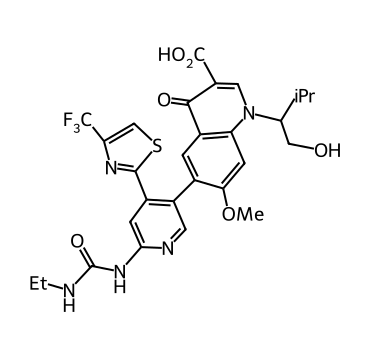 CCNC(=O)Nc1cc(-c2nc(C(F)(F)F)cs2)c(-c2cc3c(=O)c(C(=O)O)cn(C(CO)C(C)C)c3cc2OC)cn1